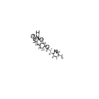 CCc1ccc(CCCOc2ccc(CC3SC(=O)NC3=O)cc2)nc1